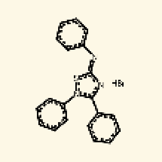 Br.c1ccc(N=c2nc(-c3ccccc3)n(-c3ccccc3)s2)cc1